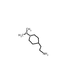 CN(C)N1CCC(CCN)CC1